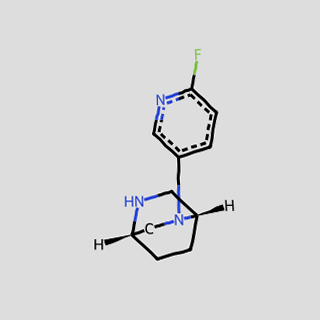 Fc1ccc(N2C[C@@H]3CC[C@H]2CN3)cn1